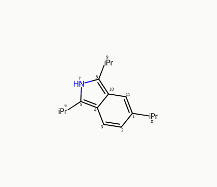 CC(C)c1ccc2c(C(C)C)[nH]c(C(C)C)c2c1